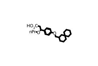 CCCOC(CC(=O)O)c1ccc(OCC2CCCC3(CCCCC3)C2)cc1